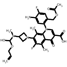 C=CCOC(O)N(C)C1CN(c2c(F)c(C)c3c(=O)c(C(=O)O)cn(-c4cc(N)c(F)cc4COC(C)=O)c3c2C)C1